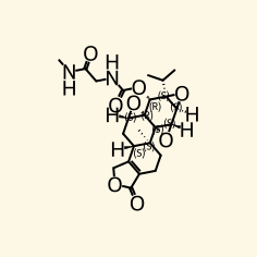 CNC(=O)CNC(=O)O[C@@H]1[C@@]2(C(C)C)O[C@H]2[C@@H]2O[C@]23[C@]12O[C@H]2C[C@H]1C2=C(CC[C@@]13C)C(=O)OC2